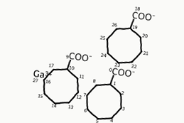 O=C([O-])C1CCCCCCC1.O=C([O-])C1CCCCCCC1.O=C([O-])C1CCCCCCC1.[Ga+3]